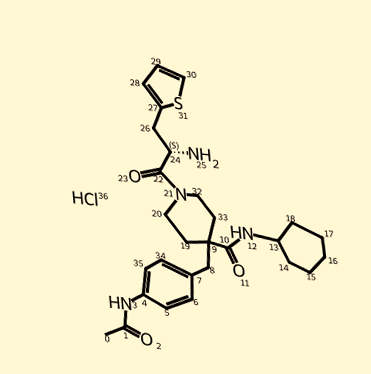 CC(=O)Nc1ccc(CC2(C(=O)NC3CCCCC3)CCN(C(=O)[C@@H](N)Cc3cccs3)CC2)cc1.Cl